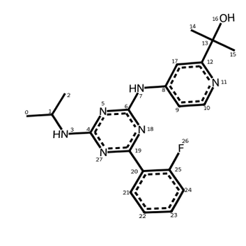 CC(C)Nc1nc(Nc2ccnc(C(C)(C)O)c2)nc(-c2ccccc2F)n1